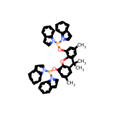 Cc1cc(OP(n2ccc3ccccc32)n2ccc3ccccc32)c2c(c1)C(C)(C)c1cc(C)cc(OP(n3ccc4ccccc43)n3ccc4ccccc43)c1O2